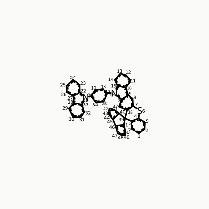 c1ccc2c(c1)Sc1cc3c4ccccc4n(-c4ccc(-n5c6ccccc6c6ccccc65)cc4)c3cc1C21c2ccccc2-c2ccccc21